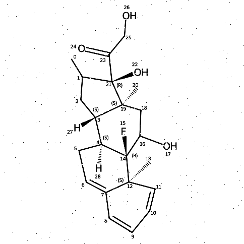 CC1C[C@H]2[C@@H]3CC=C4C=CC=C[C@]4(C)[C@@]3(F)C(O)C[C@]2(C)[C@@]1(O)C(=O)CO